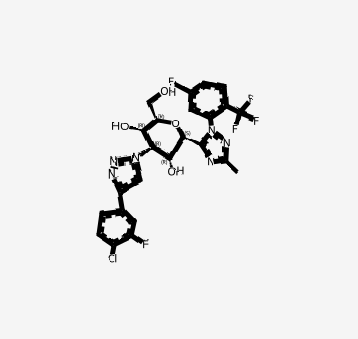 Cc1nc([C@@H]2O[C@H](CO)[C@H](O)[C@H](n3cc(-c4ccc(Cl)c(F)c4)nn3)[C@H]2O)n(-c2cc(F)ccc2C(F)(F)F)n1